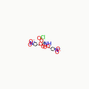 O=C(Cl)OC[C@H](NC(=O)OCc1ccc([N+](=O)[O-])cc1)C(=O)OCc1ccc([N+](=O)[O-])cc1